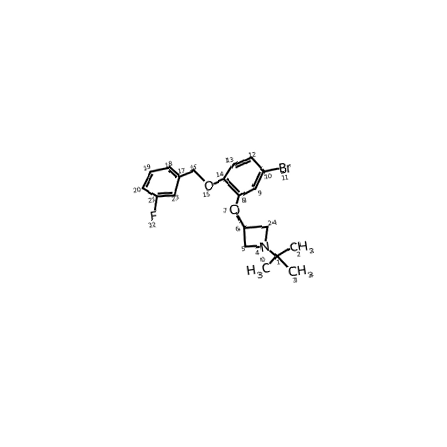 CC(C)(C)N1CC(Oc2cc(Br)ccc2OCc2cccc(F)c2)C1